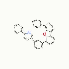 c1ccc(-c2ccc(-c3cccc(-c4cccc5c4oc4c(-c6ccccc6)cccc45)c3)cn2)cc1